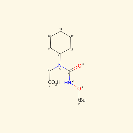 CC(C)(C)ONC(=O)N(CC(=O)O)C1CCCCC1